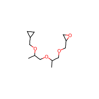 CC(COCC1CO1)OCC(C)OCC1CC1